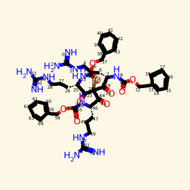 N=C(N)NCCC[C@H](NC(=O)OCc1ccccc1)C(=O)C(Br)(C(=O)[C@H](CCCNC(=N)N)NC(=O)OCc1ccccc1)C(=O)[C@H](CCCNC(=N)N)NC(=O)OCc1ccccc1